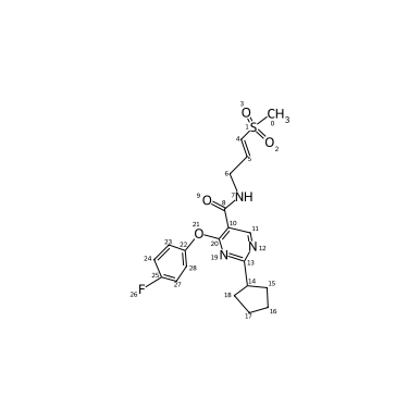 CS(=O)(=O)C=CCNC(=O)c1cnc(C2CCCC2)nc1Oc1ccc(F)cc1